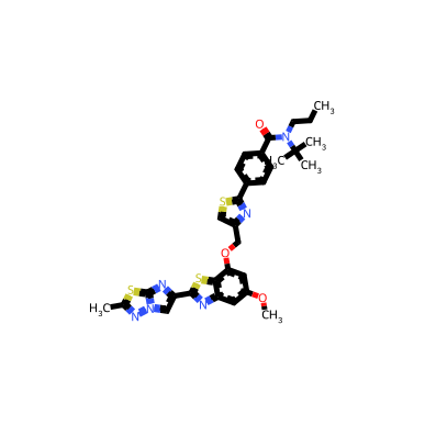 CCCN(C(=O)c1ccc(-c2nc(COc3cc(OC)cc4nc(-c5cn6nc(C)sc6n5)sc34)cs2)cc1)C(C)(C)C